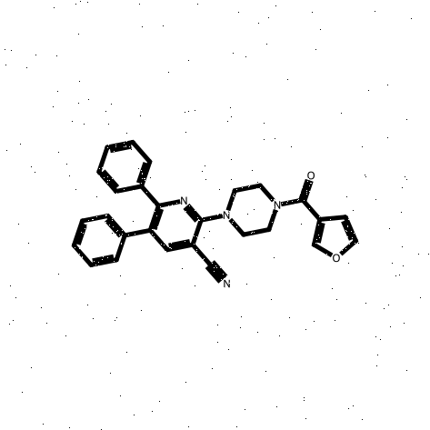 N#Cc1cc(-c2ccccc2)c(-c2ccccc2)nc1N1CCN(C(=O)c2ccoc2)CC1